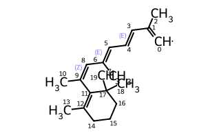 [CH]=C(C)/C=C/C=C(C)/C=C(/C)C1=C(C)CCCC1(C)C